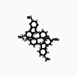 CC(C)(C)c1ccc2c(c1)c1cc(C(C)(C)C)ccc1n2-c1ccncc1-c1cc(C(F)(F)F)ccc1-n1c2ccc(C(C)(C)C)cc2c2cc(C(C)(C)C)ccc21